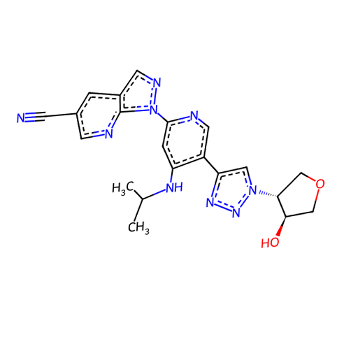 CC(C)Nc1cc(-n2ncc3cc(C#N)cnc32)ncc1-c1cn([C@@H]2COC[C@H]2O)nn1